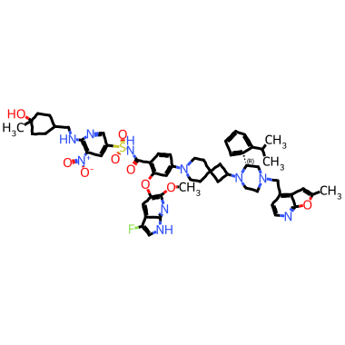 COc1nc2[nH]cc(F)c2cc1Oc1cc(N2CCC3(CC2)CC(N2CCN(Cc4ccnc5oc(C)cc45)C[C@H]2c2ccccc2C(C)C)C3)ccc1C(=O)NS(=O)(=O)c1cnc(NCC2CCC(C)(O)CC2)c([N+](=O)[O-])c1